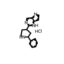 Cl.c1ccc(C2CC(c3ncc4nccc-4[nH]3)CCN2)cc1